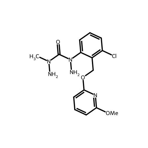 COc1cccc(OCc2c(Cl)cccc2N(N)C(=O)N(C)N)n1